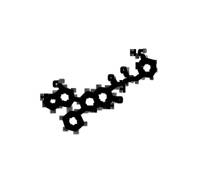 Cc1cccc(C[S+]([O-])NC(=O)c2cc3cc(-c4cc(Cl)c5[nH]ncc5c4)c(-c4ccccc4)nc3[nH]c2=O)n1